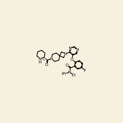 CCN(C(=O)c1cc(F)ccc1Oc1cncnc1N1CC2(CCN(C(=O)[C@@H]3CCCCN3)CC2)C1)C(C)C